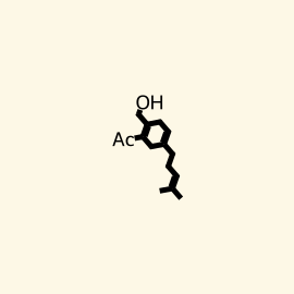 CC(=O)C1=C(CO)CC=C(CCC=C(C)C)C1